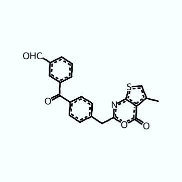 Cc1csc2nc(Cc3ccc(C(=O)c4cccc(C=O)c4)cc3)oc(=O)c12